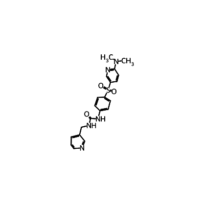 CN(C)c1ccc(S(=O)(=O)c2ccc(NC(=O)NCc3cccnc3)cc2)cn1